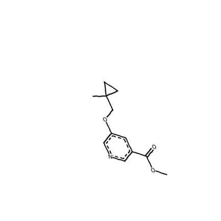 COC(=O)c1cncc(OCC2(C)CC2)c1